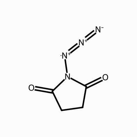 [N-]=[N+]=[N+]N1C(=O)CCC1=O